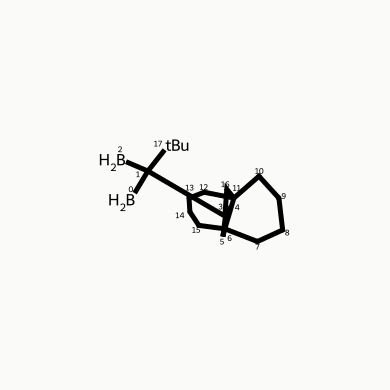 BC(B)(C1CCC23CCCCC2(CCCC3)C1)C(C)(C)C